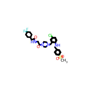 CS(=O)(=O)c1ccc(CNc2ccc(Cl)cc2CN2CCN(C(=O)CNC(=O)CC3CCC(F)(F)CC3)CC2)cc1